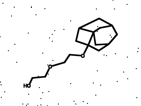 OCCOCCOC12CC3CC4CC(C1)C2(C4)C3